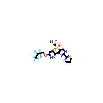 CCS(=O)(=O)c1cnc(-c2ncccn2)nc1-c1ccc(OCC(F)(F)C(F)C(F)(F)F)nn1